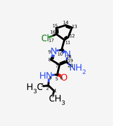 CCC(C)NC(=O)c1cnc(-c2ccccc2Cl)nc1N